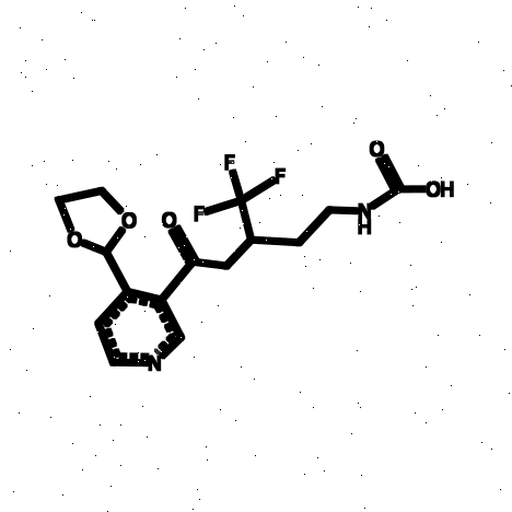 O=C(O)NCCC(CC(=O)c1cnccc1C1OCCO1)C(F)(F)F